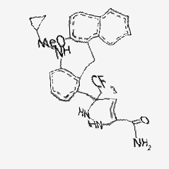 COc1ccc2ccccc2c1Cc1c(NCC2CC2)cccc1C1(C(F)(F)F)C=C(C(N)=O)NN1